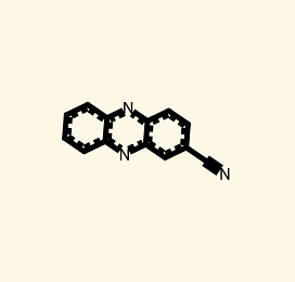 N#Cc1ccc2nc3ccccc3nc2c1